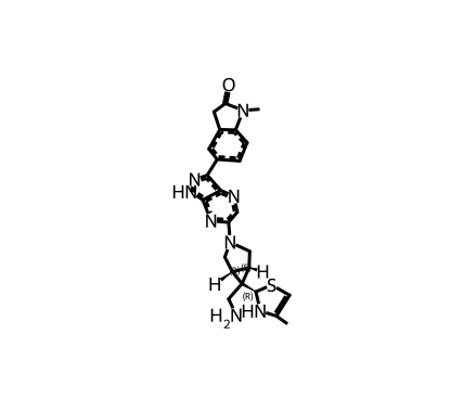 CC1=CS[C@H](C2(CN)[C@@H]3CN(c4cnc5c(-c6ccc7c(c6)CC(=O)N7C)n[nH]c5n4)C[C@@H]32)N1